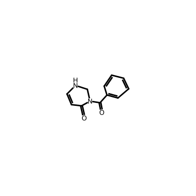 O=C1C=CNCN1C(=O)c1ccccc1